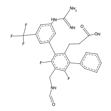 N=C(N)Nc1cc(-c2c(F)c(CNC=O)c(F)c(-c3ccccc3)c2CCC(=O)O)cc(C(F)(F)F)c1